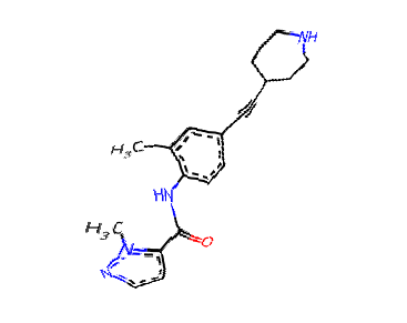 Cc1cc(C#CC2CCNCC2)ccc1NC(=O)c1ccnn1C